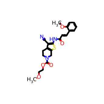 COCCOC(=O)N1CCc2c(sc(NC(=O)C=Cc3ccccc3OC)c2C#N)C1